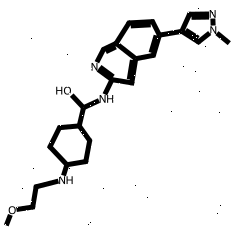 COCCNC1CCC(C(O)Nc2cc3cc(-c4cnn(C)c4)ccc3cn2)CC1